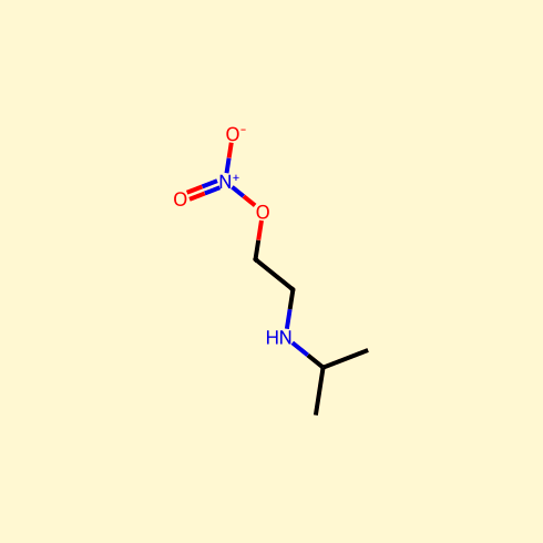 CC(C)NCCO[N+](=O)[O-]